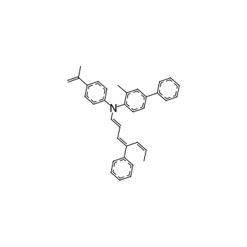 C=C(C)c1ccc(N(/C=C/C=C(\C=C/C)c2ccccc2)c2ccc(-c3ccccc3)cc2C)cc1